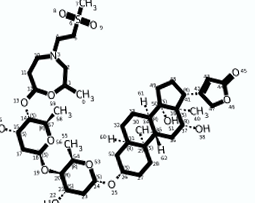 CC1CN(CCS(C)(=O)=O)CCC(O[C@H]2[C@@H](O)C[C@H](O[C@@H]3[C@@H](O)C[C@@H](O[C@H]4CC[C@@]5(C)[C@H](CC[C@@H]6[C@@H]5C[C@@H](O)[C@]5(C)[C@@H](C7=CC(=O)OC7)CC[C@]65O)C4)O[C@@H]3C)O[C@@H]2C)O1